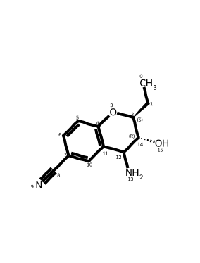 CC[C@@H]1Oc2ccc(C#N)cc2C(N)[C@H]1O